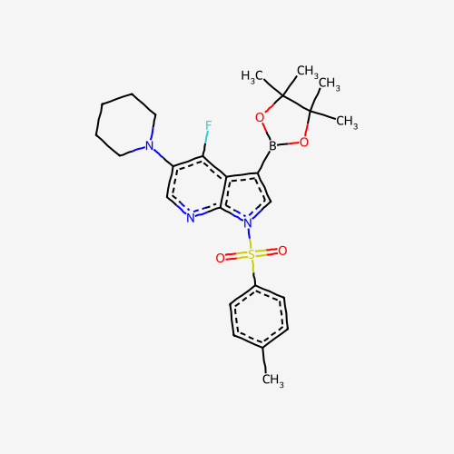 Cc1ccc(S(=O)(=O)n2cc(B3OC(C)(C)C(C)(C)O3)c3c(F)c(N4CCCCC4)cnc32)cc1